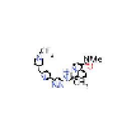 CC[C@](C)(CNc1cc(-c2ccc(CC3CCN(CC(F)(F)F)CC3)nc2)ncn1)c1cccc2c(C(=O)NC)ccnc12